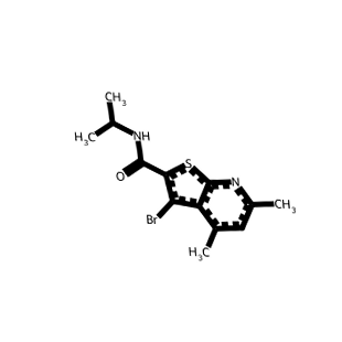 Cc1cc(C)c2c(Br)c(C(=O)NC(C)C)sc2n1